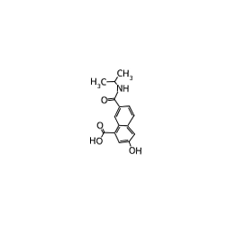 CC(C)NC(=O)c1ccc2cc(O)cc(C(=O)O)c2c1